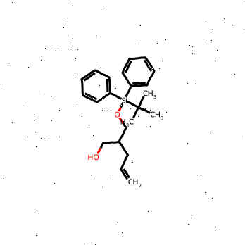 C=CCC(CO)CO[Si](c1ccccc1)(c1ccccc1)C(C)(C)C